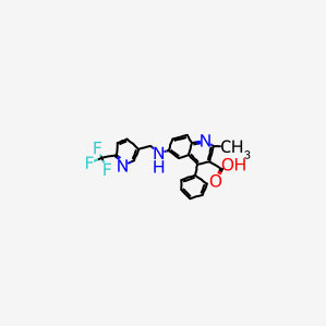 Cc1nc2ccc(NCc3ccc(C(F)(F)F)nc3)cc2c(-c2ccccc2)c1C(=O)O